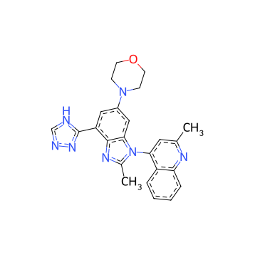 Cc1cc(-n2c(C)nc3c(-c4nnc[nH]4)cc(N4CCOCC4)cc32)c2ccccc2n1